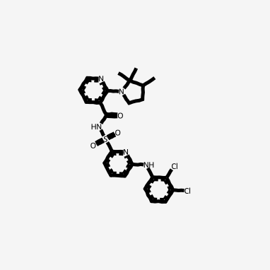 CC1CCN(c2ncccc2C(=O)NS(=O)(=O)c2cccc(Nc3cccc(Cl)c3Cl)n2)C1(C)C